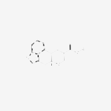 CC(C)NC(=O)C1CN[C@@H]2Cc3c[nH]c4cccc(c34)C2C1